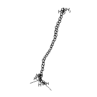 CCCCCCCCCCCCCCNC(=O)OCC[C@H](CSC[C@H](N)C(=O)N[C@@H](CO)C(=O)NCCOCCOCCOCCOCCOCCOCCOCCOCCOCCOCCOCCOCCOCCOCCOCCOCCOCCOCCOCCOCCOCCOCCOCCOCCOCCOCCOCCOCCC(=O)NCC(N)=O)OC(=O)NCCCCCCCCCCCCCC